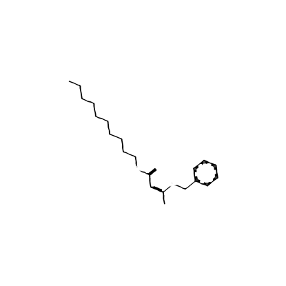 CCCCCCCCCCOC(=O)/C=C(/C)NCc1ccccc1